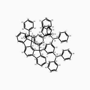 CC1(C)c2ccccc2-c2ccc3c(c21)C(c1cc(N(c2ccccc2)c2ccccc2)cc(N(c2ccccc2)c2ccccc2)c1)(c1nc(C(=O)c2ccccc2)nc(C(=O)c2ccccc2)n1)c1ccccc1-3